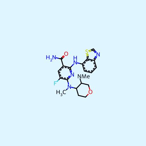 CNC1COCCC1N(C)c1nc(Nc2cccc3ncsc23)c(C(N)=O)cc1F